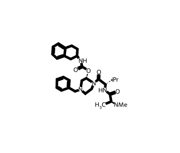 CN[C@@H](C)C(=O)N[C@H](C(=O)N1CCN(Cc2ccccc2)C[C@@H]1OC(=O)NC1CCc2ccccc2C1)C(C)C